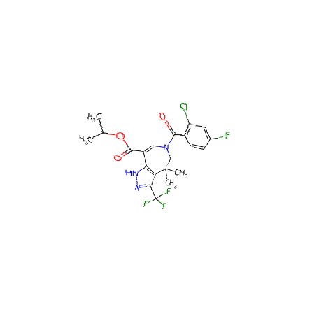 CC(C)OC(=O)C1=CN(C(=O)c2ccc(F)cc2Cl)CC(C)(C)c2c(C(F)(F)F)n[nH]c21